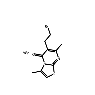 Br.Cc1nc2scc(C)n2c(=O)c1CCBr